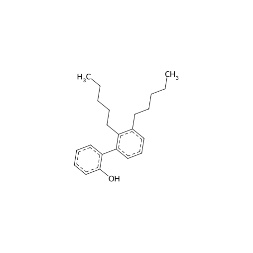 CCCCCc1cccc(-c2ccccc2O)c1CCCCC